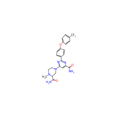 CN1CCN(c2cc(C(N)=O)nc(-c3ccc(Oc4ccc(C(F)(F)F)cc4)cc3)n2)CC1C(N)=O